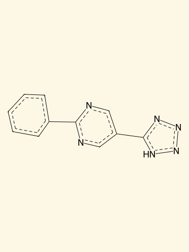 c1ccc(-c2ncc(-c3nnn[nH]3)cn2)cc1